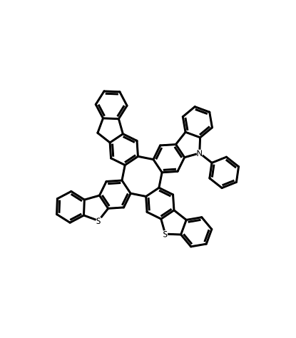 c1ccc(-n2c3ccccc3c3cc4c(cc32)-c2cc3c(cc2-c2cc5sc6ccccc6c5cc2-c2cc5c(cc2-4)-c2ccccc2C5)sc2ccccc23)cc1